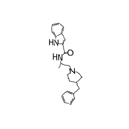 CC(CN1CCC(Cc2ccccc2)CC1)NC(=O)c1cc2ccccc2[nH]1